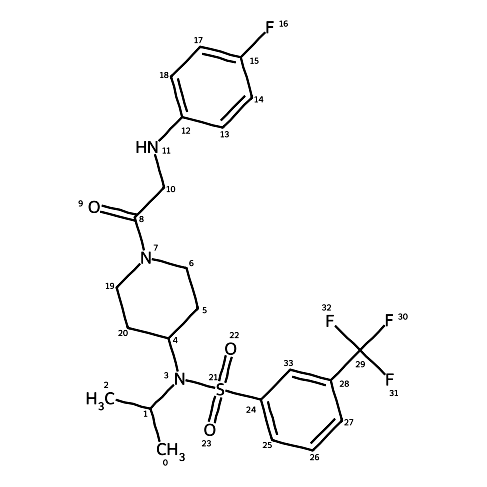 CC(C)N(C1CCN(C(=O)CNc2ccc(F)cc2)CC1)S(=O)(=O)c1cccc(C(F)(F)F)c1